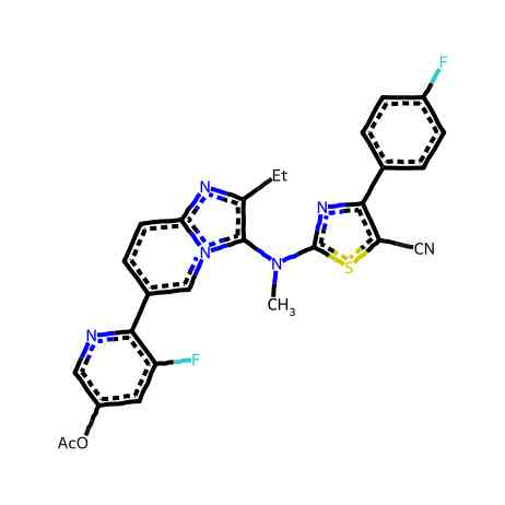 CCc1nc2ccc(-c3ncc(OC(C)=O)cc3F)cn2c1N(C)c1nc(-c2ccc(F)cc2)c(C#N)s1